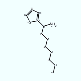 CCCCCCCC(N)c1cccs1